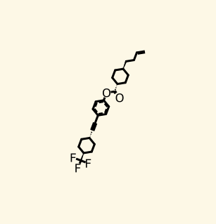 C=CCC[C@H]1CC[C@H](C(=O)Oc2ccc(C#C[C@H]3CC[C@H](C(F)(F)F)CC3)cc2)CC1